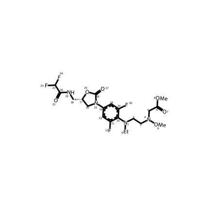 CCN(CCN(CC(=O)OC)OC)c1c(F)cc(N2C[C@H](CNC(=O)C(F)F)OC2=O)cc1F